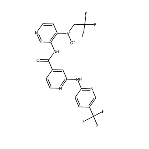 O=C(Nc1cnccc1[S+]([O-])CC(F)(F)F)c1ccnc(Nc2ccc(C(F)(F)F)cn2)c1